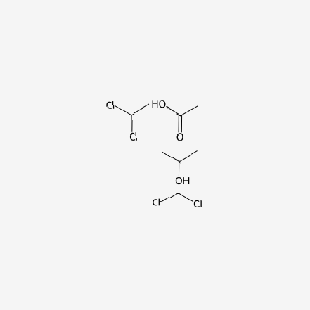 CC(=O)O.CC(C)O.CC(Cl)Cl.ClCCl